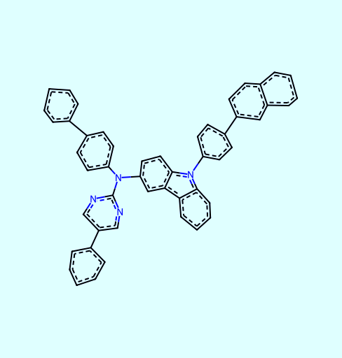 c1ccc(-c2ccc(N(c3ccc4c(c3)c3ccccc3n4-c3ccc(-c4ccc5ccccc5c4)cc3)c3ncc(-c4ccccc4)cn3)cc2)cc1